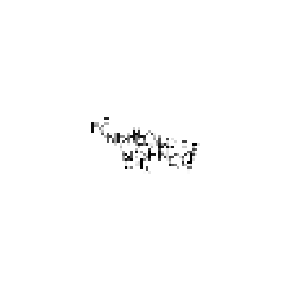 CN1C[C@H](CNCC(F)F)Cn2nc3c(c2C1=O)CN(C(=O)Nc1ccc(F)c(C(F)(F)F)c1)CC3